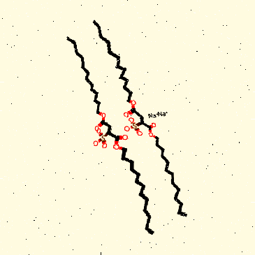 CCCCCCCCCCCCCOC(=O)CC(C(=O)OCCCCCCCCCCCCC)S(=O)(=O)[O-].CCCCCCCCCCCCCOC(=O)CC(C(=O)OCCCCCCCCCCCCC)S(=O)(=O)[O-].[Na+].[Na+]